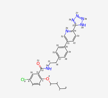 CCCCOc1ccc(Cl)cc1C(=O)NCCc1ccc(-c2ccc(-c3nnn[nH]3)nc2)cc1